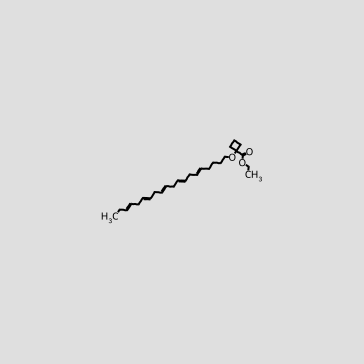 CCC=CCC=CCC=CCC=CCC=CCCCCOC1(C(=O)OCC)CCC1